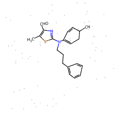 Cc1sc(N(CCCc2ccccc2)C2=CCC(C#N)C=C2)nc1C=O